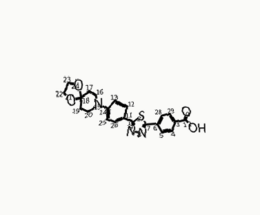 O=C(O)c1ccc(-c2nnc(-c3ccc(N4CCC5(CC4)OCCO5)cc3)s2)cc1